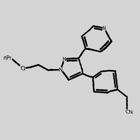 CCCOCCn1cc(-c2ccc(CC#N)cc2)c(-c2ccncc2)n1